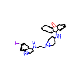 Ic1ccc2c(NCCCN3CCC(NC4c5ccccc5Oc5ccccc54)CC3)ccnc2c1